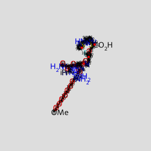 COCCOCCOCCOCCOCCOCCOCCOCCN(N)/C=C(\N)COC(=O)N(C)Cc1cc(NC(=O)[C@H](CCCNC(N)=O)NC(=O)[C@@H](N)C(C)C)ccc1COC(=O)N(C)CC#Cc1ccc(OCCCc2sc(N3CCCc4c3nnc(Nc3nc5ccccc5s3)c4C)nc2C(=O)O)c(F)c1